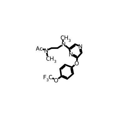 CC(=O)N(C)CCN(C)c1cncc(Oc2ccc(OC(F)(F)F)cc2)n1